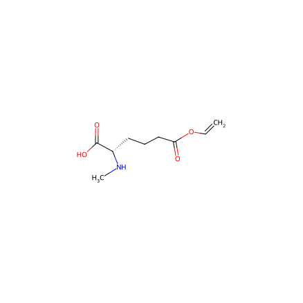 C=COC(=O)CCC[C@H](NC)C(=O)O